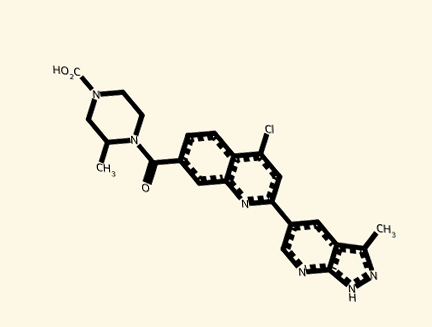 Cc1n[nH]c2ncc(-c3cc(Cl)c4ccc(C(=O)N5CCN(C(=O)O)CC5C)cc4n3)cc12